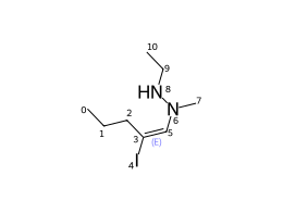 CCC/C(I)=C\N(C)NCC